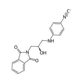 [C-]#[N+]c1ccc(NC[C@@H](O)CN2C(=O)c3ccccc3C2=O)cc1